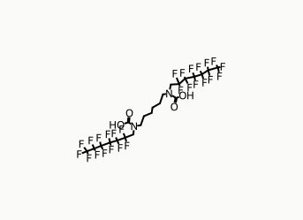 O=C(O)N(CCCCCCN(CC(F)(F)C(F)(F)C(F)(F)C(F)(F)C(F)(F)C(F)(F)F)C(=O)O)CC(F)(F)C(F)(F)C(F)(F)C(F)(F)C(F)(F)C(F)(F)F